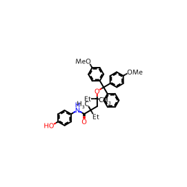 CCC(C)(CC(C)(CC)C(=O)Nc1ccc(O)cc1)OC(c1ccccc1)(c1ccc(OC)cc1)c1ccc(OC)cc1